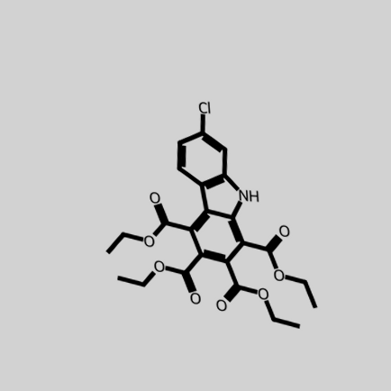 CCOC(=O)c1c(C(=O)OCC)c(C(=O)OCC)c2c([nH]c3cc(Cl)ccc32)c1C(=O)OCC